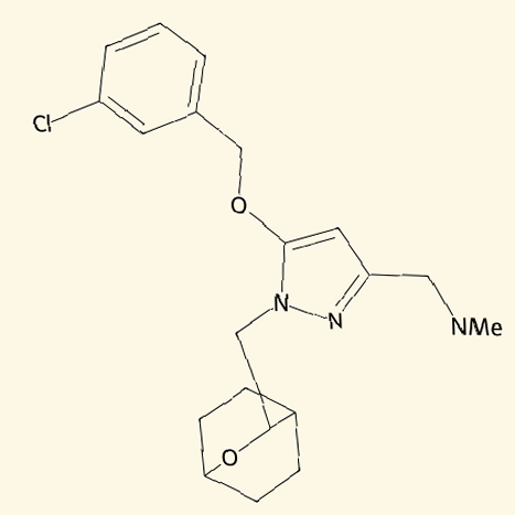 CNCc1cc(OCc2cccc(Cl)c2)n(CC2OC3CCC2CC3)n1